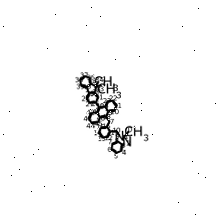 Cc1nc2ccccc2n1Cc1ccccc1Cc1c2ccccc2c(-c2ccc3c(c2)C(C)(C)c2ccccc2-3)c2ccccc12